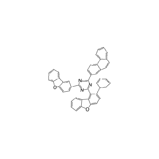 C1=CCC(c2ccc3oc4ccccc4c3c2-c2nc(-c3ccc4c(ccc5ccccc54)c3)nc(-c3ccc4oc5ccccc5c4c3)n2)C=C1